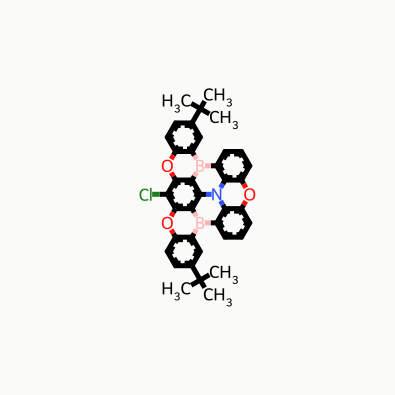 CC(C)(C)c1ccc2c(c1)B1c3cccc4c3N3c5c(cccc5B5c6cc(C(C)(C)C)ccc6Oc6c(Cl)c(c1c3c65)O2)O4